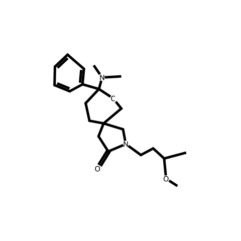 COC(C)CCN1CC2(CCC(c3ccccc3)(N(C)C)CC2)CC1=O